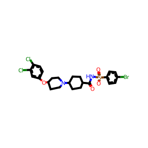 O=C(NS(=O)(=O)c1ccc(Br)cc1)C1CCC(N2CCC(Oc3ccc(Cl)c(Cl)c3)CC2)CC1